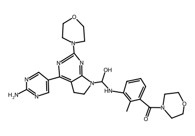 Cc1c(NC(O)N2CCc3c(-c4cnc(N)nc4)nc(N4CCOCC4)nc32)cccc1C(=O)N1CCOCC1